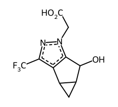 O=C(O)Cn1nc(C(F)(F)F)c2c1C(O)C1CC21